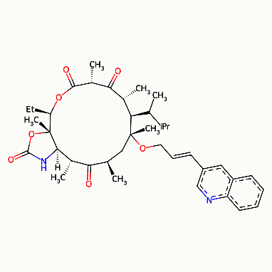 CC[C@H]1OC(=O)[C@H](C)C(=O)[C@H](C)[C@@H](C(C)C(C)C)[C@](C)(OC/C=C/c2cnc3ccccc3c2)C[C@@H](C)C(=O)[C@H](C)[C@H]2NC(=O)O[C@@]21C